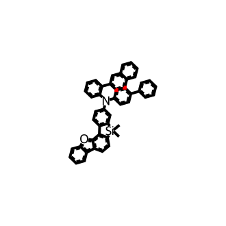 C[Si]1(C)c2cc(N(c3ccc(-c4ccccc4)cc3)c3ccccc3-c3ccc4ccccc4c3)ccc2-c2c1ccc1c2oc2ccccc21